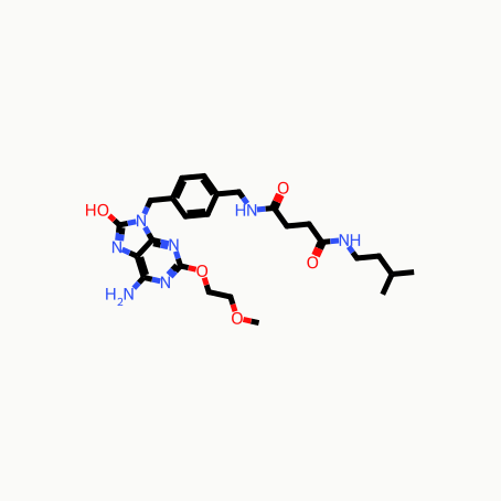 COCCOc1nc(N)c2nc(O)n(Cc3ccc(CNC(=O)CCC(=O)NCCC(C)C)cc3)c2n1